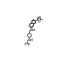 Cc1ncc(-c2ccc3cnc(NCC4CCC(NCC(F)F)CC4)cc3c2)o1